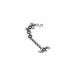 Cc1cc(O)c(OCCOCCOCCOCCOc2ccc(C3CCN([S+]([O-])c4ccc(C(=O)NCC(=O)O)cc4)CC3)cc2)cc1C(C)(C)C